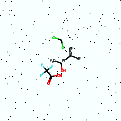 CC(C)[SiH](C(C)C)C(C)C.ClCCl.O=C(O)C(F)(F)F.OCC(F)(F)F